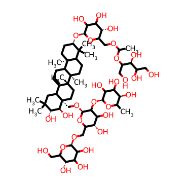 CC(OCC1O[C@@H](O[C@H]2CC[C@@]3(C)C(CC[C@]4(C)C3CC=C3C5CC(C)(C)[C@@H](O)[C@H](O)[C@]5(CO[C@@H]5OC(CO[C@@H]6OC(CO)[C@@H](O)C(O)C6O)[C@@H](O)C(O)C5O[C@@H]5OC(C)[C@H](O)C(O)C5O)CC[C@]34C)C2(C)C)C(O)C(O)[C@@H]1O)OC(CO)[C@@H](O)C(O)CO